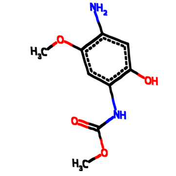 COC(=O)Nc1cc(OC)c(N)cc1O